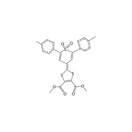 COC(=O)C1=C(C(=O)OC)SC(=C2C=C(c3ccc(C)cc3)S(=O)(=O)C(c3ccc(C)cc3)=C2)S1